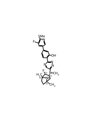 CSc1ncc(-c2ccc(-c3ncc(N(C)[C@H]4C[C@]5(C)CC[C@@](C)(N5)[C@H]4F)nn3)c(O)c2)cc1F